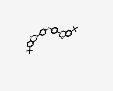 CC(C)(C)c1ccc2c(c1)CN(c1ccc(Oc3ccc(N4COc5ccc(C(C)(C)C)cc5C4)cc3)cc1)CO2